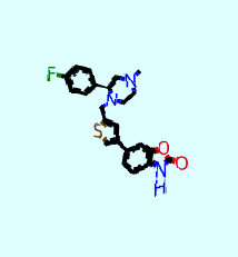 CN1CCN(Cc2cc(-c3ccc4[nH]c(=O)oc4c3)cs2)[C@@H](c2ccc(F)cc2)C1